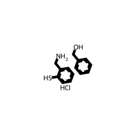 Cl.NCc1ccccc1S.OCc1ccccc1